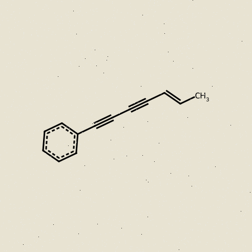 CC=CC#CC#Cc1ccccc1